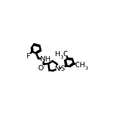 Cc1cc(C)cc(SN2CCC(C(=O)NCc3ccccc3F)CC2)c1